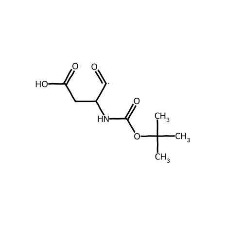 CC(C)(C)OC(=O)NC([C]=O)CC(=O)O